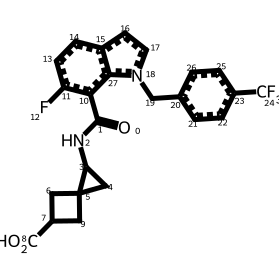 O=C(NC1CC12CC(C(=O)O)C2)c1c(F)ccc2ccn(Cc3ccc(C(F)(F)F)cc3)c12